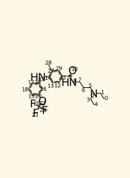 CCN(CC)CCCNC(=O)c1ccc(Nc2cccc(OC(F)(F)F)c2)c(C)c1